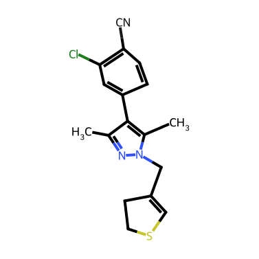 Cc1nn(CC2=CSCC2)c(C)c1-c1ccc(C#N)c(Cl)c1